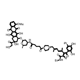 CCNC(=O)c1noc(-c2cc(C(C)C)c(O)cc2O)c1/C(C)=C/C=C(\C)CN1CCN(C(=O)CCCC(=O)N[C@@H]2C[C@@H](OC3CC(O)(C(=O)CO)Cc4c(O)c5c(c(O)c43)C(=O)c3c(OC)cccc3C5=O)O[C@H](C)C2)CC1